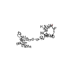 C=C1/C=C(F)\C=C/CC(=O)N(C)Cc2nn(CCN(C)C(=O)CCOCCOCCOc3ccc4c(c3)CN(C(=O)[C@@H](NC(=O)[C@H](C)NC)C(C)(C)C)[C@H](C(=O)N[C@@H]3CCCc5ccccc53)C4)c(C#N)c2-c2cnc(N)c(n2)N2CCC[C@H]12